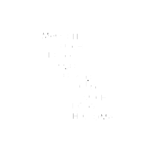 COC(C)OC(C)OC(C)OP1OCC2(CO1)COP(OC(C)OC(C)OC(C)OC)OC2